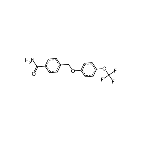 NC(=O)c1ccc(COc2ccc(OC(F)(F)F)cc2)cc1